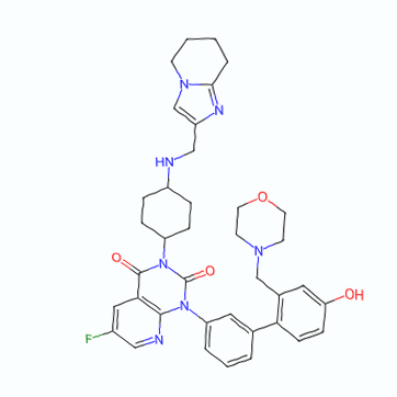 O=c1c2cc(F)cnc2n(-c2cccc(-c3ccc(O)cc3CN3CCOCC3)c2)c(=O)n1C1CCC(NCc2cn3c(n2)CCCC3)CC1